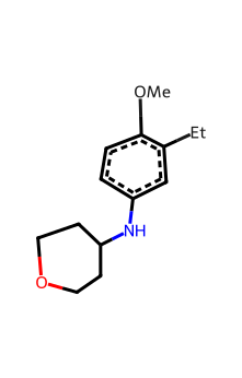 CCc1cc(NC2CCOCC2)ccc1OC